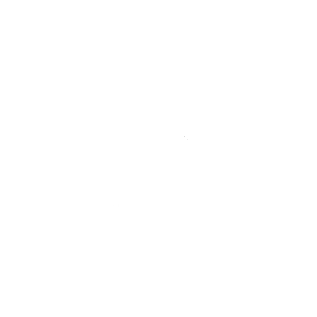 CN(C)/C=C1\CC(C=O)CCC1=O